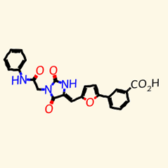 O=C(CN1C(=O)N/C(=C\c2ccc(-c3cccc(C(=O)O)c3)o2)C1=O)Nc1ccccc1